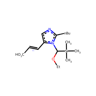 CCCCc1ncc(/C=C/C(=O)O)n1C(OCC)[Si](C)(C)C